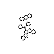 c1ccc(N(c2cccc(-c3c4ccccc4cc4ccccc34)c2)c2cc3c4ccccc4oc3c3c2sc2ccccc23)cc1